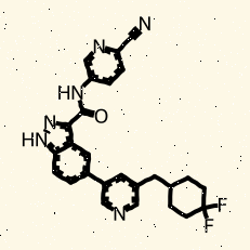 N#Cc1ccc(NC(=O)c2n[nH]c3ccc(-c4cncc(CC5CCC(F)(F)CC5)c4)cc23)cn1